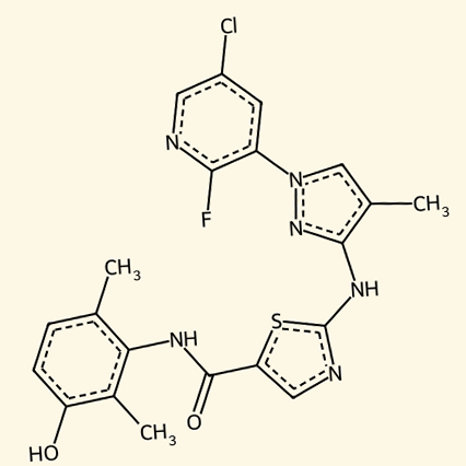 Cc1cn(-c2cc(Cl)cnc2F)nc1Nc1ncc(C(=O)Nc2c(C)ccc(O)c2C)s1